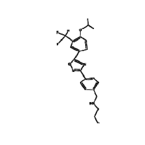 [CH2]CCNCc1ccc(-c2noc(-c3ccc(OC(C)C)c(C(F)(F)F)c3)n2)cc1